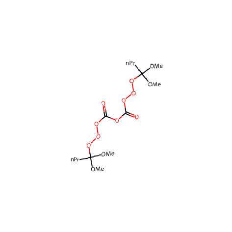 CCCC(OC)(OC)OOOC(=O)OC(=O)OOOC(CCC)(OC)OC